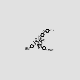 COc1ccc(-n2nnnc2Sc2c(NC(=O)C(C)Oc3ccc(C(C)(C)C)cc3)[nH]n(-c3ccc(Oc4ccc(C(C)(C)C)cc4)cc3)c2=O)cc1